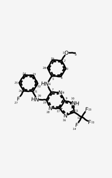 COc1ccc(Nc2nc3[nH]c(C(F)(F)F)nc3nc2Nc2ccccc2F)cc1